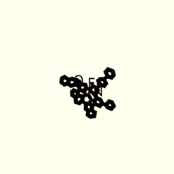 CCC1C(c2ccc(-c3ccccc3)cc2)=NC(c2cccc(-c3ccccc3)c2)=NC1c1cc2oc3cc4ccccc4cc3c2cc1[C@@H]1CCc2cc3ccccc3cc2-c2ccc3ccccc3c21